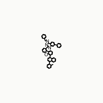 C=N/C(=N\C(=N/Cc1ccccc1)c1ccc(-c2ccccc2)cc1)c1cccc2oc3c(-c4ccc(-c5ccccc5C)c5ccccc45)cccc3c12